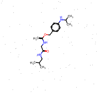 C=C(NCC(=O)NCC(C)C)OCc1ccc(NC(C)C)cc1